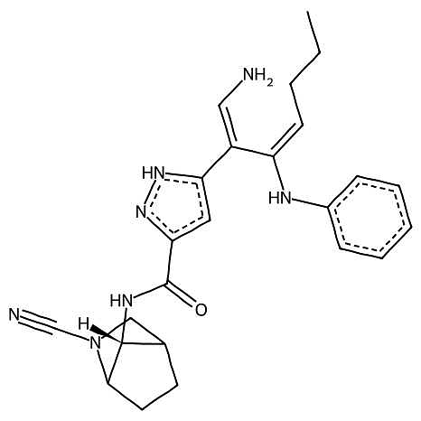 CCC/C=C(Nc1ccccc1)\C(=C/N)c1cc(C(=O)N[C@@H]2C3CCC2N(C#N)C3)n[nH]1